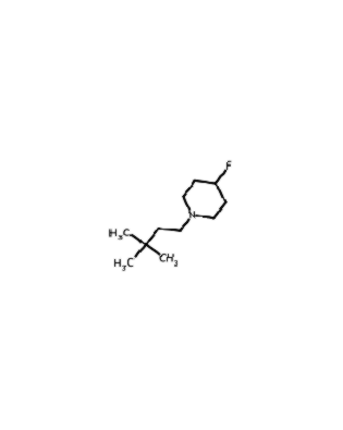 CC(C)(C)CCN1CCC(F)CC1